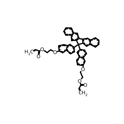 C=CC(=O)OCCOc1ccc2cc(C3(c4ccc5cc(OCCOC(=O)C=C)ccc5c4)c4cc5ccccc5cc4-c4cc5ccccc5cc43)ccc2c1